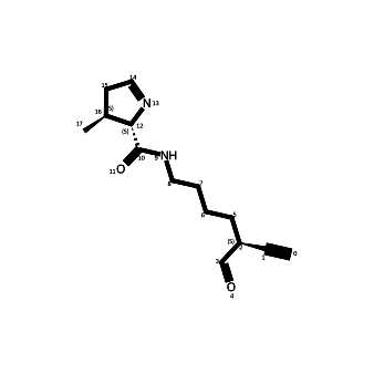 C#C[C@@H](C=O)CCCCNC(=O)[C@H]1N=CC[C@@H]1C